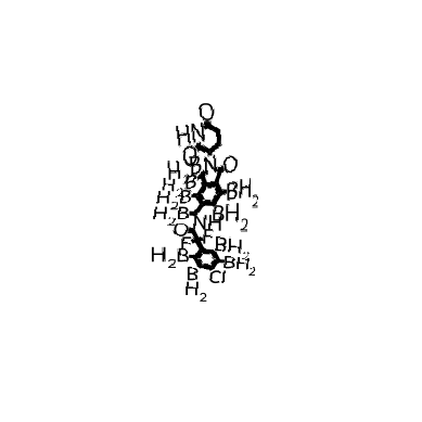 Bc1c(B)c(C(F)(F)C(=O)NC(B)c2c(B)c(B)c3c(c2B)C(B)(B)N(C2CCC(=O)NC2=O)C3=O)c(B)c(B)c1Cl